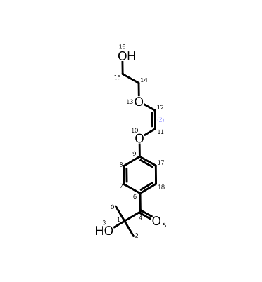 CC(C)(O)C(=O)c1ccc(O/C=C\OCCO)cc1